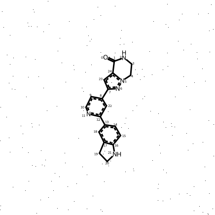 O=C1NCCn2nc(-c3ccnc(-c4ccc5c(c4)CCN5)c3)cc21